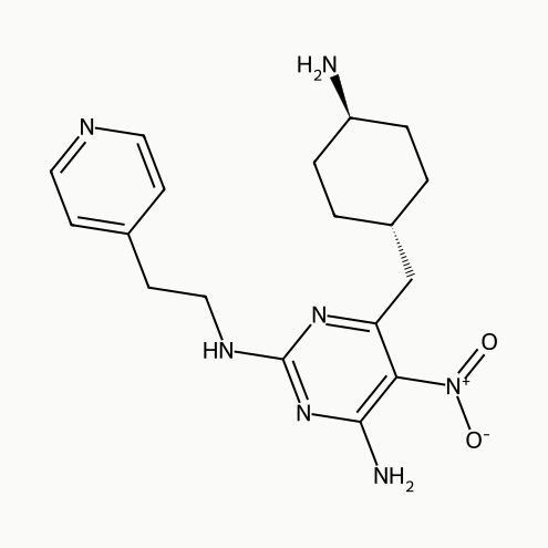 Nc1nc(NCCc2ccncc2)nc(C[C@H]2CC[C@H](N)CC2)c1[N+](=O)[O-]